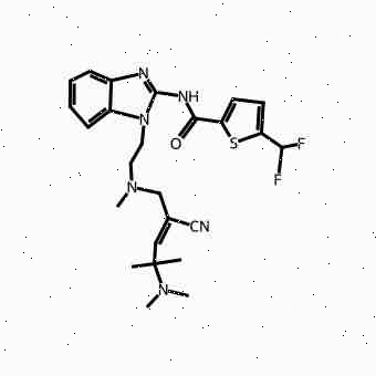 CN(CCn1c(NC(=O)c2ccc(C(F)F)s2)nc2ccccc21)CC(C#N)=CC(C)(C)N(C)C